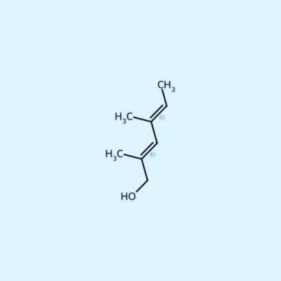 C/C=C(C)/C=C(\C)CO